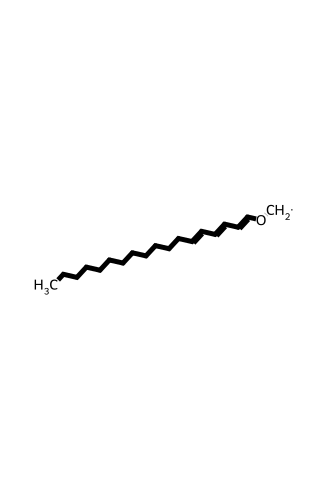 [CH2]OC=CC=CC=CCCCCCCCCCCCC